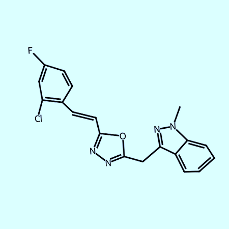 Cn1nc(Cc2nnc(/C=C/c3ccc(F)cc3Cl)o2)c2ccccc21